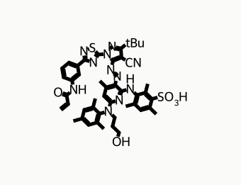 C=CC(=O)Nc1cccc(-c2nsc(-n3nc(C(C)(C)C)c(C#N)c3N=Nc3c(C)cc(N(CCCO)c4c(C)cc(C)cc4C)nc3Nc3c(C)cc(C)c(S(=O)(=O)O)c3C)n2)c1